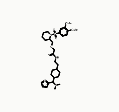 COc1ccc(S(=O)(=O)N2CCCCC2COCC(=O)NCCC2CCC(C(c3cccs3)N(C)C)CC2)cc1OC